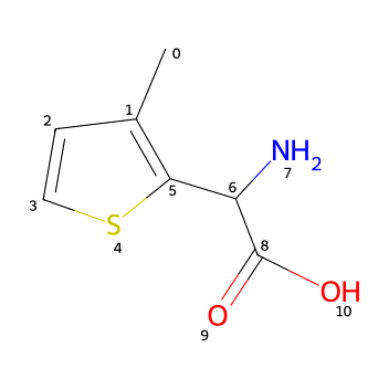 Cc1ccsc1C(N)C(=O)O